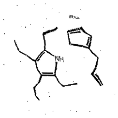 C=CCC1=CC=CC1.CCc1[nH]c(CC)c(CC)c1CC.[Ru]